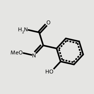 CON=C(C(N)=O)c1ccccc1O